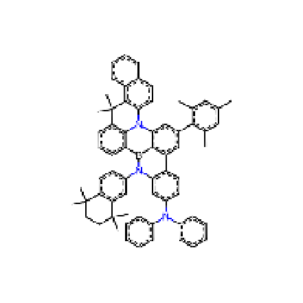 Cc1cc(C)c(-c2cc3c4c(c2)N2c5ccc6ccccc6c5C(C)(C)c5cccc(c52)B4N(c2ccc4c(c2)C(C)(C)CCC4(C)C)c2cc(N(c4ccccc4)c4ccccc4)ccc2-3)c(C)c1